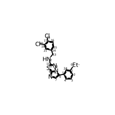 C[CH]c1cccc(-c2cnc3sc(NCc4ccc(Cl)c(Cl)c4)nn23)c1